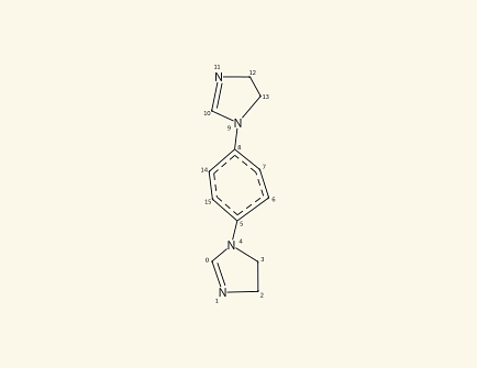 C1=NCCN1c1ccc(N2C=NCC2)cc1